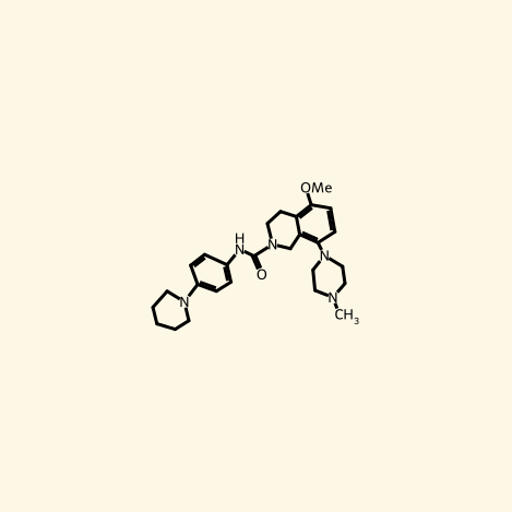 COc1ccc(N2CCN(C)CC2)c2c1CCN(C(=O)Nc1ccc(N3CCCCC3)cc1)C2